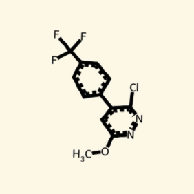 COc1cc(-c2ccc(C(F)(F)F)cc2)c(Cl)nn1